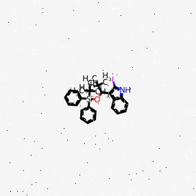 CC(C)(C)C(O[Si](c1ccccc1)(c1ccccc1)C(C)(C)C)c1c(I)[nH]c2ccccc12